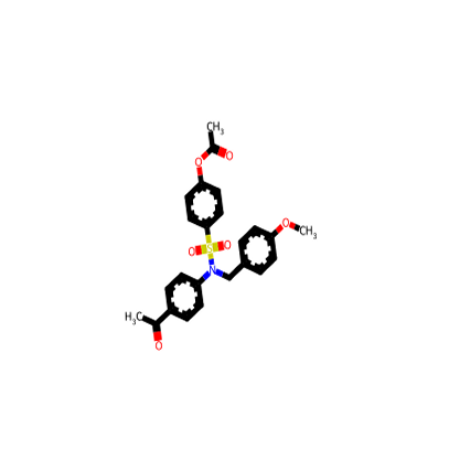 COc1ccc(CN(c2ccc(C(C)=O)cc2)S(=O)(=O)c2ccc(OC(C)=O)cc2)cc1